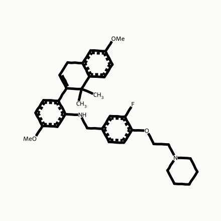 COc1ccc2c(c1)CC=C(c1ccc(OC)cc1NCc1ccc(OCCN3CCCCC3)c(F)c1)C2(C)C